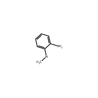 C[N]c1ccccc1N